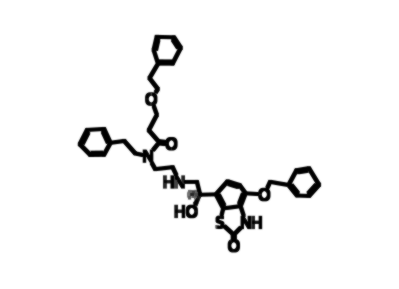 O=C(CCOCCc1ccccc1)N(CCNC[C@H](O)c1ccc(OCc2ccccc2)c2[nH]c(=O)sc12)CCc1ccccc1